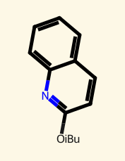 CC(C)COc1ccc2ccccc2n1